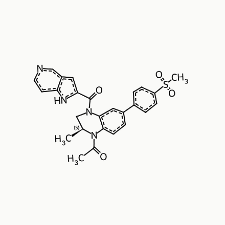 CC(=O)N1c2ccc(-c3ccc(S(C)(=O)=O)cc3)cc2N(C(=O)c2cc3cnccc3[nH]2)C[C@@H]1C